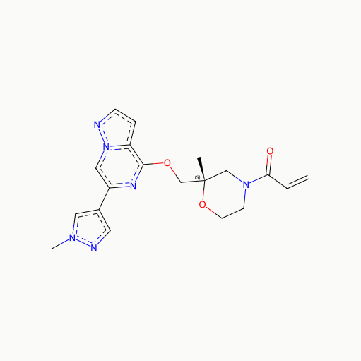 C=CC(=O)N1CCO[C@](C)(COc2nc(-c3cnn(C)c3)cn3nccc23)C1